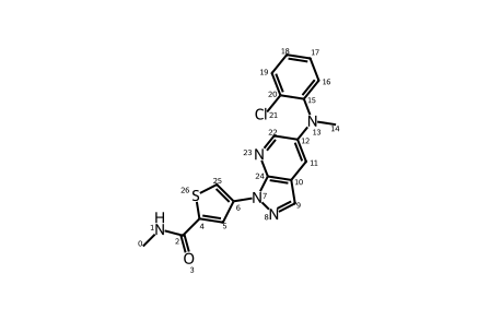 CNC(=O)c1cc(-n2ncc3cc(N(C)c4ccccc4Cl)cnc32)cs1